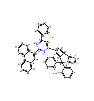 c1ccc2c(c1)Oc1ccccc1C21c2ccccc2-c2ccc(-c3nc(-c4cc5ccccc5c5ccccc45)nc4c3sc3ccccc34)cc21